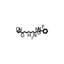 NC(CCCCCC(=O)c1ccon1)c1nnc(-c2ccccc2F)o1